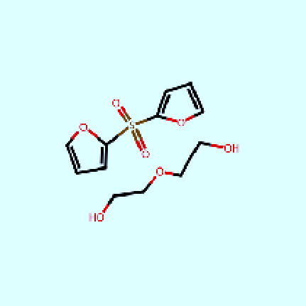 O=S(=O)(c1ccco1)c1ccco1.OCCOCCO